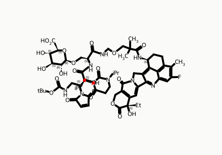 CC[C@@]1(O)C(=O)OCc2c1cc1n(c2=O)Cc2c-1nc1cc(F)c(C)c3c1c2[C@@H](NC(=O)C(C)(C)COCNC(=O)[C@H](CO[C@@H]1O[C@H](C(=O)O)[C@@H](O)[C@H](O)[C@H]1O)NC(=O)[C@@H](NC(=O)CCN(C(=O)OC[C@H](CNC(=O)OC(C)(C)C)N1C(=O)C=CC1=O)C(C)C)C(C)C)CC3